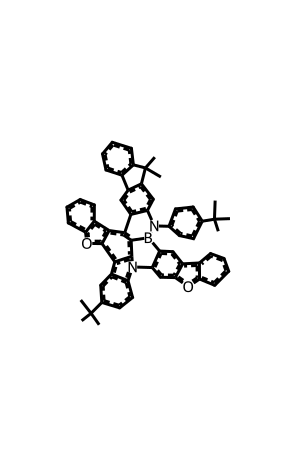 CC(C)(C)c1ccc(N2B3c4cc5c(cc4-n4c6ccc(C(C)(C)C)cc6c6c7oc8ccccc8c7c(c3c64)-c3cc4c(cc32)C(C)(C)c2ccccc2-4)oc2ccccc25)cc1